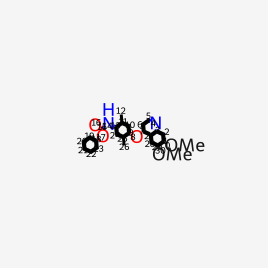 COc1cc2nccc(Oc3cc(C)c(NC(=O)Oc4ccccc4)cc3C)c2cc1OC